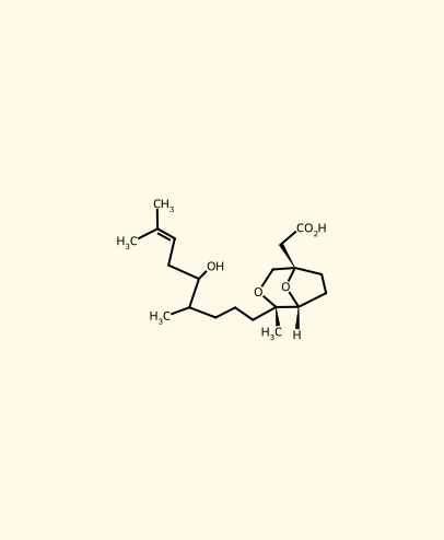 CC(C)=CCC(O)C(C)CCC[C@]1(C)OC[C@]2(CC(=O)O)CC[C@H]1O2